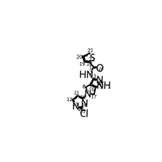 O=C(Nc1n[nH]c2c1CN(c1ccnc(Cl)n1)C2)c1cccs1